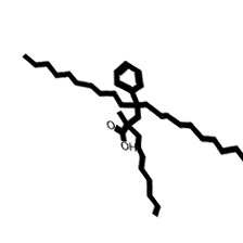 CCCCCCCCCCC(CCCCCCCCCC)(CC(C)(CCCCCCCC)C(=O)O)c1ccccc1